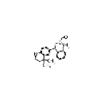 CC1(C)CC=Nc2ccc(C(COC=O)c3ccccc3N)cc21